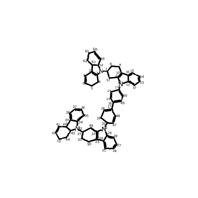 C1=CC2=C(CC1)N(C1CCc3c(n(-c4ccc(C5=CCC(n6c7c(c8ccccc86)CCC(N6c8ccccc8C8C=CCCC86)C7)C=C5)cc4)c4ccccc34)C1)C1C=CCCC21